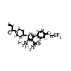 C=CC(=O)N1CCC(n2nc(-c3ccc(OCC(F)(F)F)cc3)c(C(N)=O)c2N)CC1